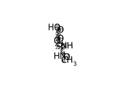 CC(=O)NCCc1c[nH]c2cc(OC(=O)CCCC(=O)O)ccc12